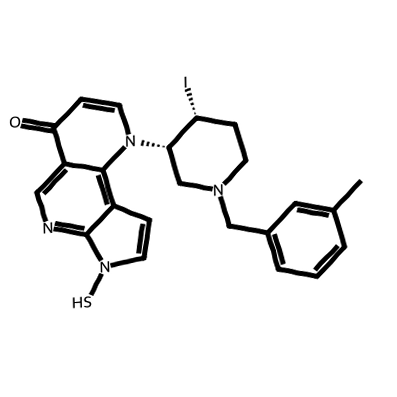 Cc1cccc(CN2CC[C@@H](I)[C@@H](n3ccc(=O)c4cnc5c(ccn5S)c43)C2)c1